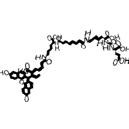 C\C=C(/C(=C\C=C/CC(=O)NCCCCC(NC(=O)CCCCCCC(=O)NCCCC[C@H](NC(=O)N[C@@H](CCC(=O)O)C(=O)O)C(=O)O)C(=O)O)C(=O)O)c1c2ccc3cc(O)ccc3c2oc2c1ccc1cc(=O)ccc12